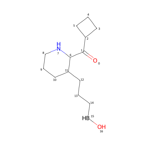 O=C(C1CCC1)C1NCCCC1CCCBO